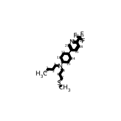 CCCCN(CCCSC)[C@H]1CC[C@@H](c2ccc(C(F)(F)F)nc2)CC1